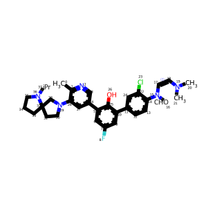 Cc1ncc(-c2cc(F)cc(-c3ccc(N(C=O)/C=C\N(C)C)c(Cl)c3)c2O)cc1N1CCC2(CCCN2C(C)C)C1